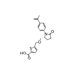 C=C(C)c1ccc(N2C(=O)CC[C@@H]2COCc2ccc(C(=O)O)s2)cc1